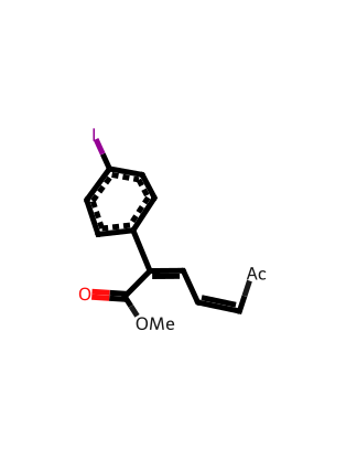 COC(=O)/C(=C\C=C/C(C)=O)c1ccc(I)cc1